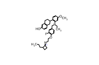 CCCC1CC/C1=N\CCOc1ccc(CN(CC)c2cc(OC)ccc2C2CCc3cc(O)ccc3C2)cc1F